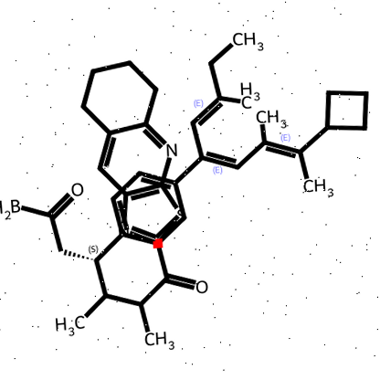 BC(=O)C[C@H](c1ccc(C(/C=C(\C)CC)=C/C(C)=C(\C)C2CCC2)cc1)C(C)C(C)C(=O)c1nc2cc3c(nc2s1)CCCC3